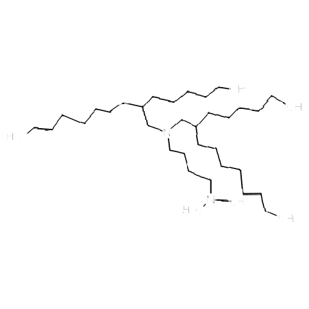 CCCCCCCCC(CCCCCC)CN(CCCCN(C)C)CC(CCCCCC)CCCCCCCC